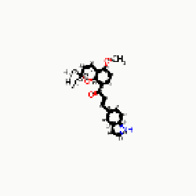 COc1ccc(C(=O)C=Cc2ccc3[nH]ccc3c2)c2c1C=CC(C)(C)O2